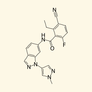 CCc1c(C#N)ccc(F)c1C(=O)Nc1ccc2cnn(-c3cnn(C)c3)c2c1